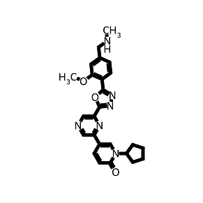 CNCc1ccc(-c2nnc(-c3cncc(-c4ccc(=O)n(C5CCCC5)c4)n3)o2)c(OC)c1